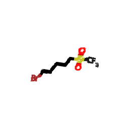 O=S(=O)(CCCCCBr)C(F)(F)F